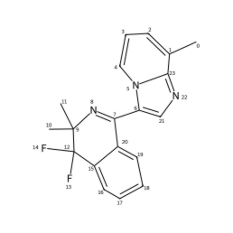 Cc1cccn2c(C3=NC(C)(C)C(F)(F)c4ccccc43)cnc12